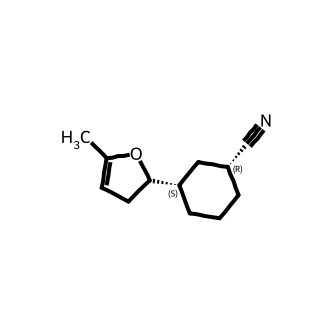 CC1=CCC([C@H]2CCC[C@@H](C#N)C2)O1